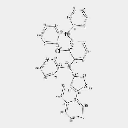 Clc1c(N(c2ccccc2)c2ccccc2)cccc1N(c1ccccc1)c1csc2c1ccc1ccccc12